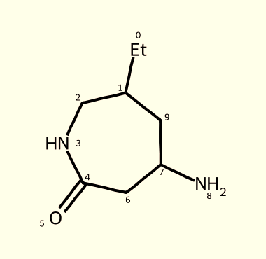 CCC1CNC(=O)CC(N)C1